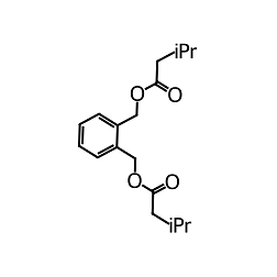 CC(C)CC(=O)OCc1ccccc1COC(=O)CC(C)C